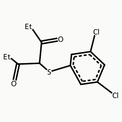 CCC(=O)C(Sc1cc(Cl)cc(Cl)c1)C(=O)CC